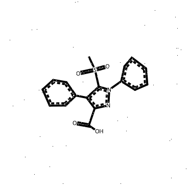 CS(=O)(=O)c1c(-c2ccccc2)c(C(=O)O)nn1-c1ccccc1